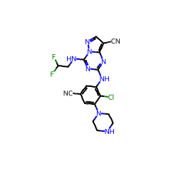 N#Cc1cc(Nc2nc(NCC(F)F)n3ncc(C#N)c3n2)c(Cl)c(N2CCNCC2)c1